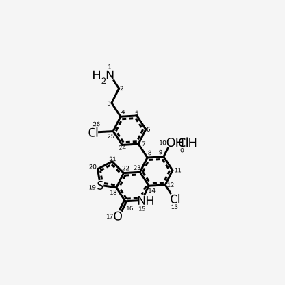 Cl.NCCc1ccc(-c2c(O)cc(Cl)c3[nH]c(=O)c4sccc4c23)cc1Cl